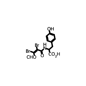 O=C/C(Br)=C(/Br)C(=O)NC(Cc1ccc(O)cc1)C(=O)O